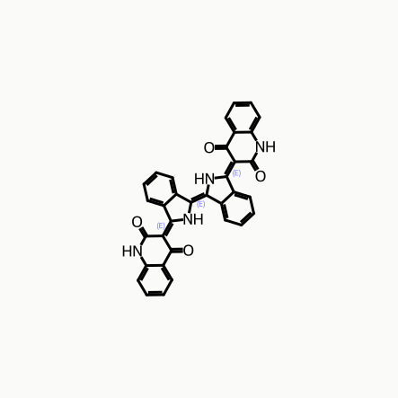 O=C1Nc2ccccc2C(=O)/C1=c1\[nH]/c(=c2/[nH]/c(=C3/C(=O)Nc4ccccc4C3=O)c3ccccc23)c2ccccc12